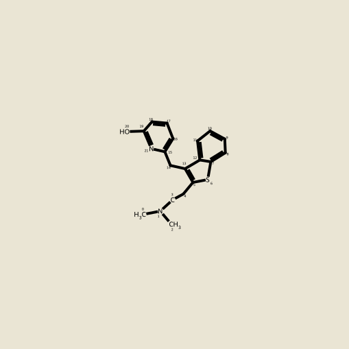 CN(C)CCc1sc2ccccc2c1Cc1cccc(O)n1